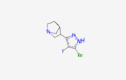 Brc1[nH]nc(C2CN3CCC2C3)c1I